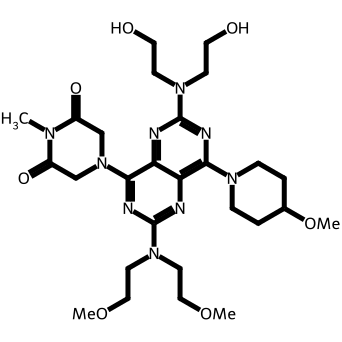 COCCN(CCOC)c1nc(N2CC(=O)N(C)C(=O)C2)c2nc(N(CCO)CCO)nc(N3CCC(OC)CC3)c2n1